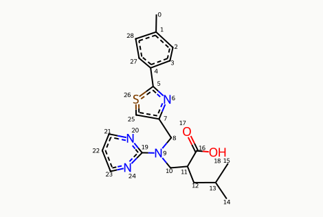 Cc1ccc(-c2nc(CN(CC(CC(C)C)C(=O)O)c3ncccn3)cs2)cc1